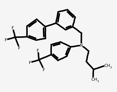 CC(C)CCN(Cc1cccc(-c2ccc(C(F)(F)F)cc2)c1)c1ccc(C(F)(F)F)cc1